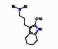 CCN(CC)CCCc1c(C=O)[nH]c2c1CCCC2